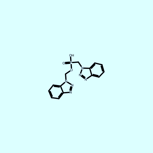 O=P(O)(Cn1nnc2ccccc21)OCn1nnc2ccccc21